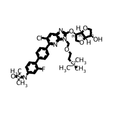 C[Si](C)(C)CCOCn1c(O[C@@H]2CO[C@H]3[C@@H]2OC[C@H]3O)nc2cc(Cl)c(-c3ccc(-c4ccc(N=S(C)(C)=O)cc4F)cc3)nc21